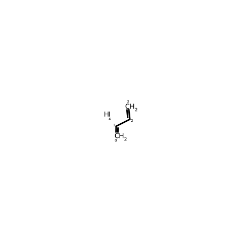 C=CC=C.I